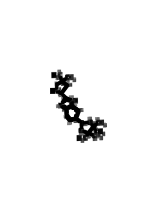 CC1(C)CN[C@H](c2nc3ccc(B4OC(C)(C)C(C)(C)O4)cc3[nH]2)C1